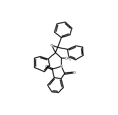 CC(N1C(=O)c2ccccc2C1=O)C1(c2ccccc2)OC1(c1ccccc1)c1ccccc1